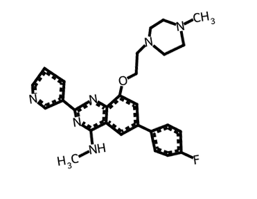 CNc1nc(-c2cccnc2)nc2c(OCCN3CCN(C)CC3)cc(-c3ccc(F)cc3)cc12